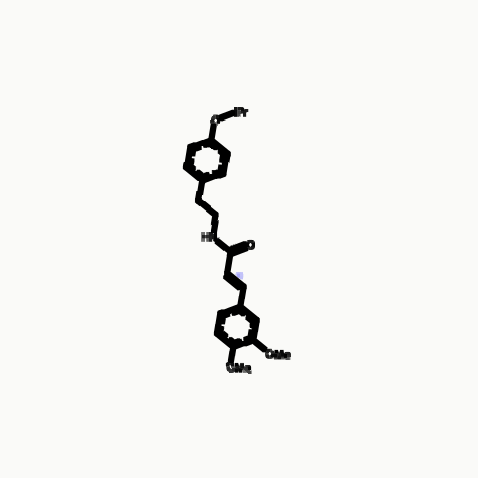 COc1ccc(/C=C/C(=O)NCCc2ccc(OC(C)C)cc2)cc1OC